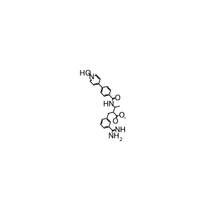 COC(=O)C(Cc1cccc(C(=N)N)c1)C(C)NC(=O)c1ccc(-c2cc[n+](O)cc2)cc1